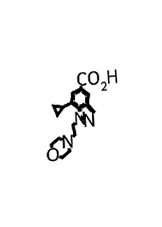 O=C(O)c1cc(C2CC2)c2c(cnn2CCN2CCOCC2)c1